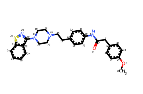 COc1ccc(CC(=O)Nc2ccc(CCN3CCN(c4nsc5ccccc45)CC3)cc2)cc1